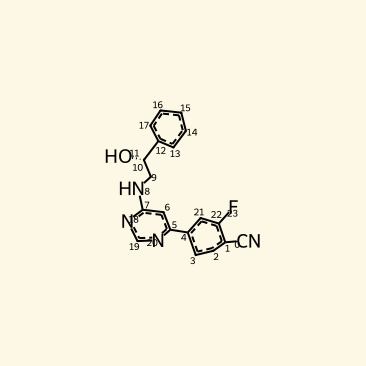 N#Cc1ccc(-c2cc(NC[C@H](O)c3ccccc3)ncn2)cc1F